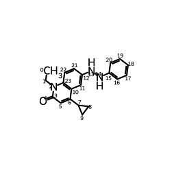 CCn1c(=O)cc(C2CC2)c2cc(NNc3ccccc3)ccc21